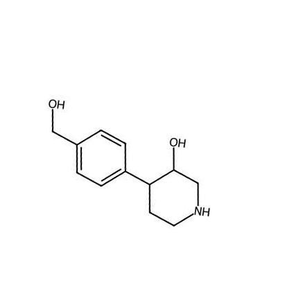 OCc1ccc(C2CCNCC2O)cc1